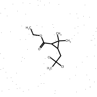 CCOC(=O)C1C(CC(C)(Cl)Cl)C1(C)C